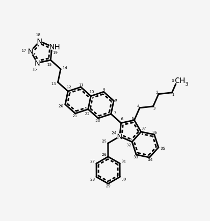 CCCCCc1c(-c2ccc3cc(CCc4nnn[nH]4)ccc3c2)n(Cc2ccccc2)c2ccccc12